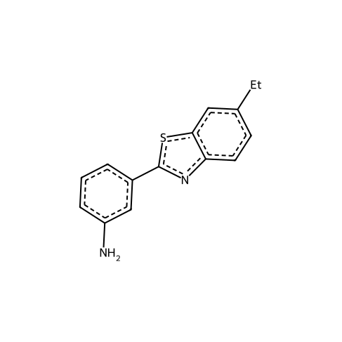 CCc1ccc2nc(-c3cccc(N)c3)sc2c1